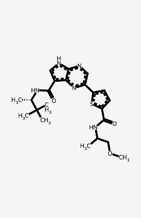 COCC(C)NC(=O)c1ccc(-c2cnc3[nH]cc(C(=O)N[C@@H](C)C(C)(C)C)c3n2)s1